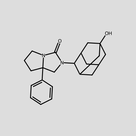 O=C1N(C2C3CC4CC2CC(O)(C4)C3)CC2(c3ccccc3)CCCN12